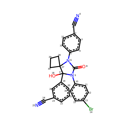 N#Cc1ccc(N2C(=O)N(c3ccc(Br)cc3)C(O)(c3cccc(C#N)c3)C23CCC3)cc1